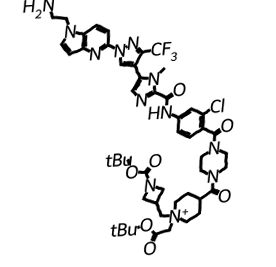 Cn1c(-c2cn(-c3ccc4c(ccn4CCN)n3)nc2C(F)(F)F)cnc1C(=O)Nc1ccc(C(=O)N2CCN(C(=O)C3CC[N+](CC(=O)OC(C)(C)C)(CC4CN(C(=O)OC(C)(C)C)C4)CC3)CC2)c(Cl)c1